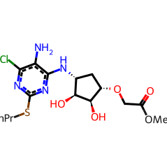 CCCSc1nc(Cl)c(N)c(N[C@@H]2C[C@H](OCC(=O)OC)[C@@H](O)[C@H]2O)n1